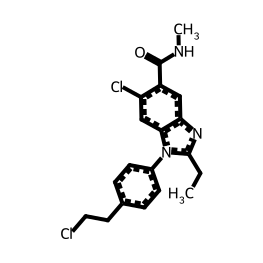 CCc1nc2cc(C(=O)NC)c(Cl)cc2n1-c1ccc(CCCl)cc1